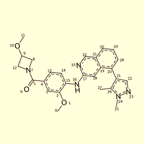 COc1cc(C(=O)N2CC(OC)C2)ccc1Nc1cc2c(-c3cnn(C)c3C)cccc2cn1